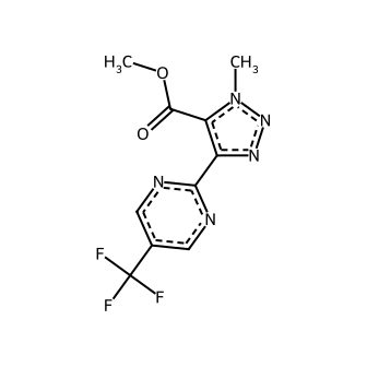 COC(=O)c1c(-c2ncc(C(F)(F)F)cn2)nnn1C